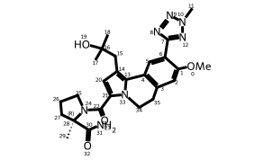 COc1cc2c(cc1-c1nnn(C)n1)-c1c(CC(C)(C)O)cc(C(=O)N3CCC[C@]3(C)C(N)=O)n1CC2